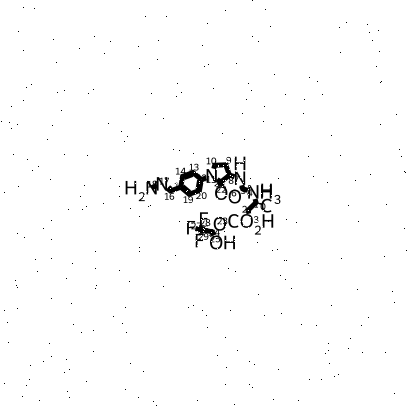 C[C@H](CC(=O)O)NC(=O)NC1CCN(c2ccc(C=NN)cc2)C1=O.O=C(O)C(F)(F)F